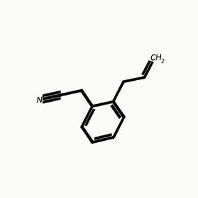 C=CCc1ccccc1CC#N